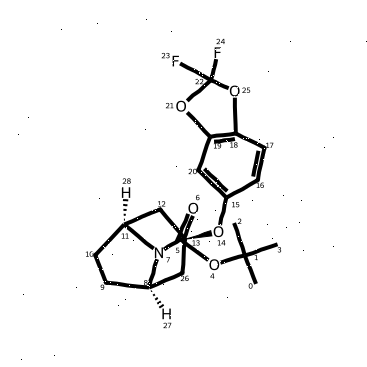 CC(C)(C)OC(=O)N1[C@@H]2CC[C@H]1C[C@@H](Oc1ccc3c(c1)OC(F)(F)O3)C2